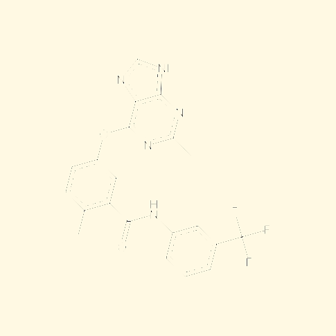 Cc1nc(Oc2ccc(C)c(C(=O)Nc3cccc(C(F)(F)F)c3)c2)c2nc[nH]c2n1